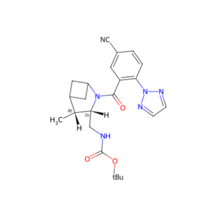 C[C@@H]1C2CC(C2)N(C(=O)c2cc(C#N)ccc2-n2nccn2)[C@@H]1CNC(=O)OC(C)(C)C